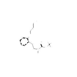 CN(CCc1ccccc1OCCCO)C(=O)OC(C)(C)C